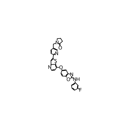 O=C1CCCN1Cc1ccc(-c2cc3nccc(Oc4ccc5oc(Nc6cccc(F)c6)nc5c4)c3s2)nc1